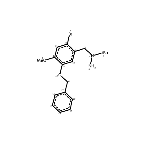 COc1cc(Br)c(CN(N)C(C)(C)C)cc1OCc1ccccc1